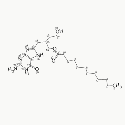 CCCCCCCCCCCC(=O)OCC(CCO)Cc1nc2nc(N)[nH]c(=O)c2[nH]1